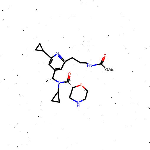 COC(=O)NCCCc1cc([C@@H](C)N(C(=O)[C@H]2CNCCO2)C2CC2)cc(C2CC2)n1